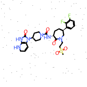 CS(=O)(=O)CCN1C[C@H](c2cccc(F)c2F)CC[C@@H](NC(=O)N2CCC(n3c4c([nH]c3=O)NCC=C4)CC2)C1=O